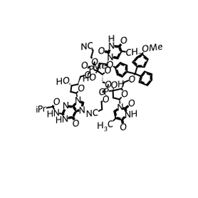 COc1ccc(C(OC[C@H]2O[C@@H](n3cc(C)c(=O)[nH]c3=O)C[C@@]2(O)P(=O)(OCCC#N)OC[C@H]2O[C@@H](n3cc(C)c(=O)[nH]c3=O)C[C@@]2(O)P(=O)(OCCC#N)OC[C@H]2O[C@@H](n3cnc4c(=O)[nH]c(NC(=O)C(C)C)nc43)C[C@@H]2O)(c2ccccc2)c2ccc(OC)cc2)cc1